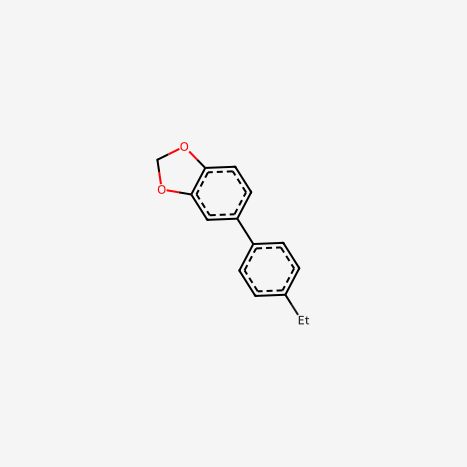 CCc1ccc(-c2ccc3c(c2)OCO3)cc1